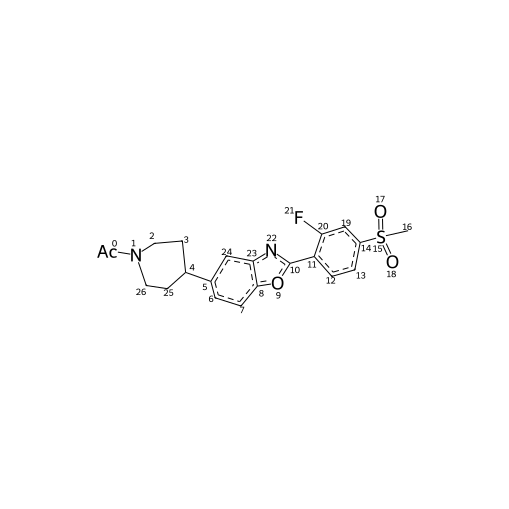 CC(=O)N1CCC(c2ccc3oc(-c4ccc(S(C)(=O)=O)cc4F)nc3c2)CC1